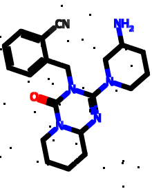 N#Cc1ccccc1CN1C(=O)N2CCCCC2N=C1N1CCCC(N)C1